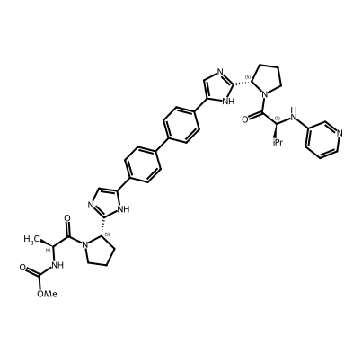 COC(=O)N[C@@H](C)C(=O)N1CCC[C@H]1c1ncc(-c2ccc(-c3ccc(-c4cnc([C@@H]5CCCN5C(=O)[C@@H](Nc5cccnc5)C(C)C)[nH]4)cc3)cc2)[nH]1